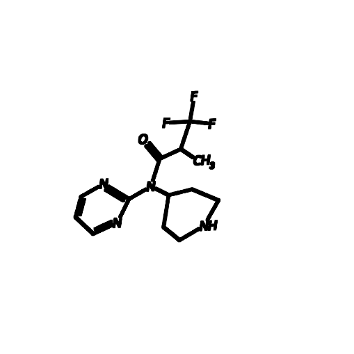 CC(C(=O)N(c1ncccn1)C1CCNCC1)C(F)(F)F